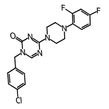 O=c1nc(N2CCN(c3ccc(F)cc3F)CC2)ncn1Cc1ccc(Cl)cc1